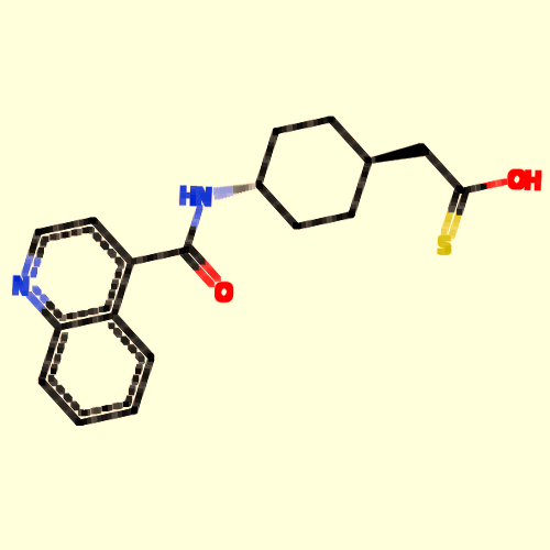 O=C(N[C@H]1CC[C@H](CC(O)=S)CC1)c1ccnc2ccccc12